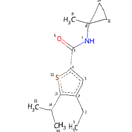 CCc1cc(C(=O)NC2(C)CC2)sc1C(C)C